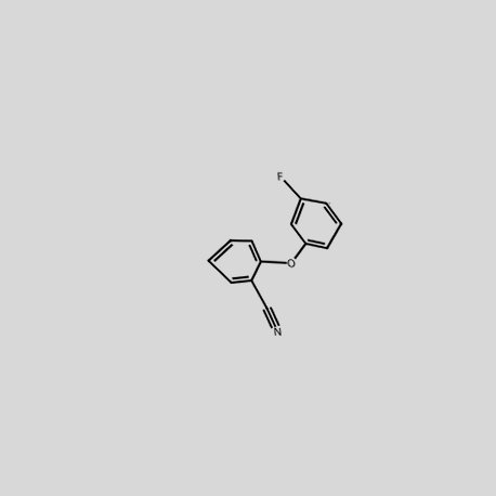 N#Cc1ccccc1Oc1cc[c]c(F)c1